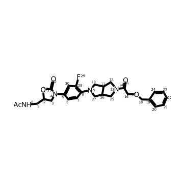 CC(=O)NCC1CN(c2ccc(N3CC4CN(C(=O)COCc5ccccc5)CC4C3)c(F)c2)C(=O)O1